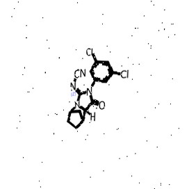 N#C/N=C1\N(c2cc(Cl)cc(Cl)c2)C(=O)[C@@H]2C3CCC(C3)N12